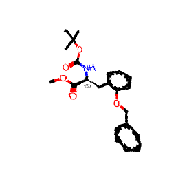 COC(=O)[C@H](Cc1ccccc1OCc1ccccc1)NC(=O)OC(C)(C)C